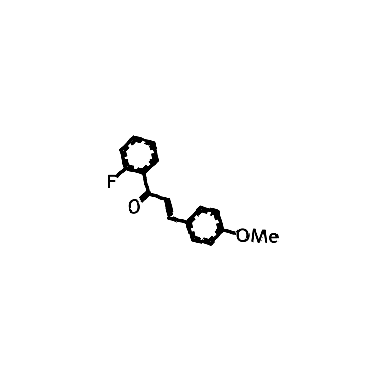 COc1ccc(/C=C/C(=O)c2ccccc2F)cc1